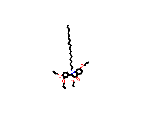 C=CCOc1ccc2c(=O)c(OCC=C)c(-c3ccc(OCC=C)c(OCC=C)c3)n(CCCCCCCCCCCCCCCCCC)c2c1